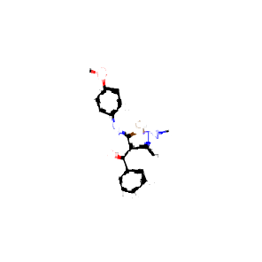 COc1ccc(N=c2sn(C)c(C)c2C(=O)c2ccccc2)cc1